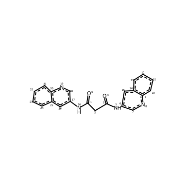 O=C(CC(=O)Nc1cnc2ccccc2c1)Nc1cnc2ccccc2c1